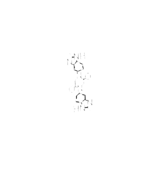 Cc1nc2cc(N3CC(=O)N(c4ccc5[nH]c(C)nc5c4)CC3=O)ccc2[nH]1